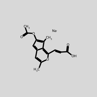 CC(=O)Oc1cc2cc(C)oc(C=CC(=O)O)c-2c1C.[Na]